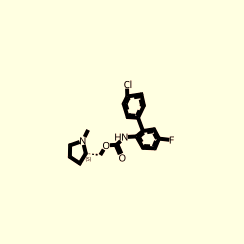 CN1CCC[C@H]1COC(=O)Nc1ccc(F)cc1-c1ccc(Cl)cc1